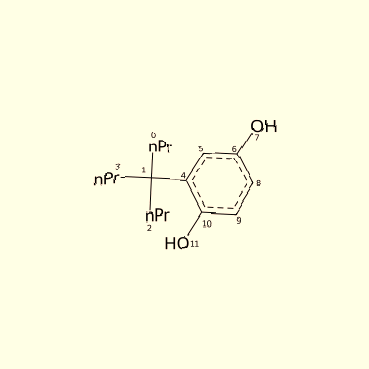 CCCC(CCC)(CCC)c1cc(O)ccc1O